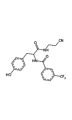 N#CCCNC(=O)C(Cc1ccc(O)cc1)NC(=O)c1cccc(C(F)(F)F)c1